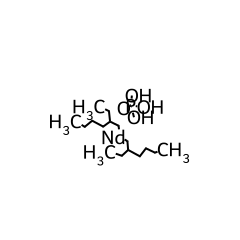 CCCCC(CC)[CH2][Nd][CH2]C(CC)CCCC.O=P(O)(O)O